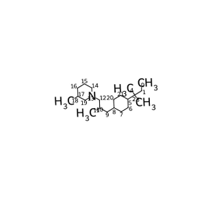 CCC(C)(C)C1CCC(CC(C)CN2CCCC(C)C2)CC1